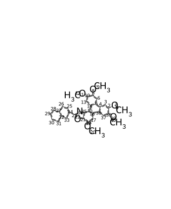 COc1cc2c3cc(OC)c(OC)cc3c3c(cc(OC)c4oc(-c5ccc6ccccc6c5)nc43)c2cc1OC